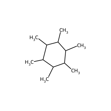 CC1C(C)C(C)C(C)C(C)C1C